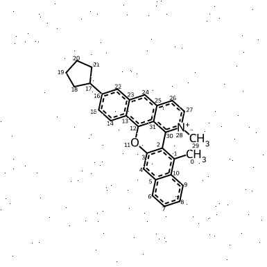 Cc1c2c(cc3ccccc13)Oc1c3ccc(C4CCCC4)cc3cc3cc[n+](C)c-2c13